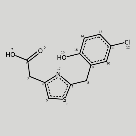 O=C(O)Cc1csc(Cc2cc(Cl)ccc2O)n1